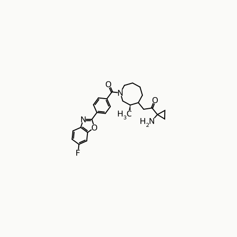 C[C@H]1CN(C(=O)c2ccc(-c3nc4ccc(F)cc4o3)cc2)CCCCC1CC(=O)C1(N)CC1